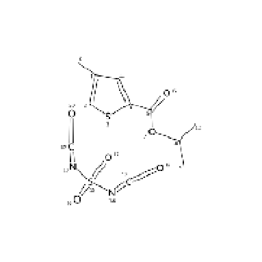 Cc1csc(C(=O)OC(C)C)c1.O=C=NS(=O)(=O)N=C=O